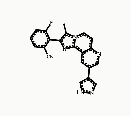 Cc1c(-c2c(F)cccc2C#N)nc2c3cc(-c4cn[nH]c4)cnc3ccn12